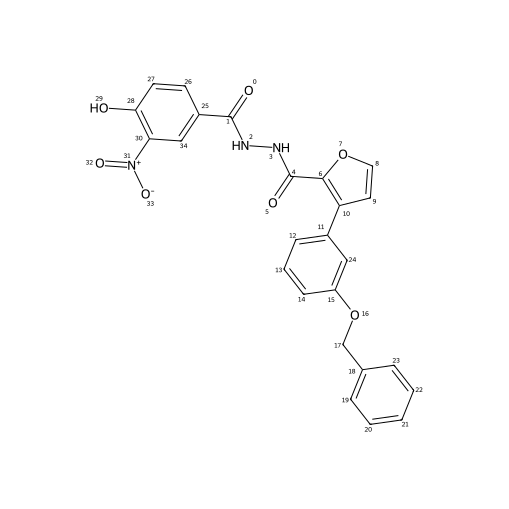 O=C(NNC(=O)c1occc1-c1cccc(OCc2ccccc2)c1)c1ccc(O)c([N+](=O)[O-])c1